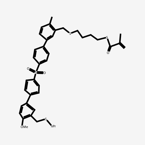 C=C(C)C(=O)SCCCCSCc1cc(-c2ccc(S(=O)(=O)c3ccc(-c4ccc(OC)c(CSCCC)c4)cc3)cc2)ccc1C